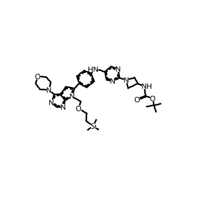 CC(C)(C)OC(=O)NC1CN(c2ncc(Nc3ccc(-c4cc5c(N6CCOCC6)ncnc5n4COCC[Si](C)(C)C)cc3)cn2)C1